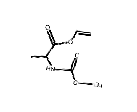 C=COC(=O)C(C)NC(=O)OC(C)(C)C